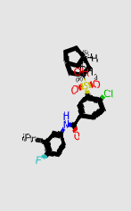 CC(C)c1cc(NC(=O)c2ccc(Cl)c(S(=O)(=O)[C@@H]3CC4CC[C@@H](C3)[C@]4(C)O)c2)ccc1F